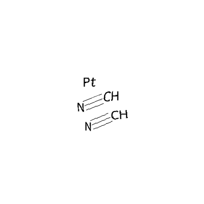 C#N.C#N.[Pt]